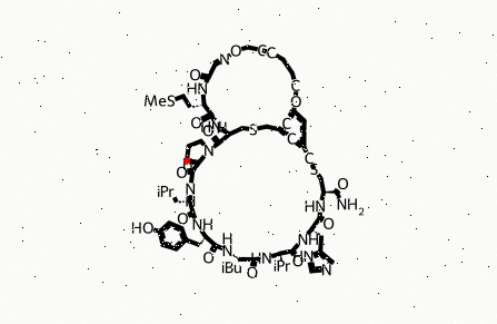 CC[C@H](C)[C@@H]1NC(=O)[C@H](Cc2ccc(O)cc2)NC(=O)[C@H](CC(C)C)NC(=O)[C@@H]2CCCN2C(=O)[C@@H]2CSCc3cc(cc(c3)OCCCCCCO/N=C/C(=O)N[C@@H](CCSC)C(=O)N2)CSC[C@@H](C(N)=O)NC(=O)[C@H](Cc2cnc[nH]2)NC(=O)[C@H](C(C)C)NC1=O